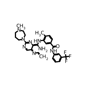 C=C/N=C1/C=NC(N2CCCN(C)CC2)=N/C1=C(/N)Nc1cc(C(=O)Nc2cccc(C(F)(F)F)c2)ccc1C